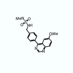 CNS(=O)(=O)NCc1ccc(-c2ncnc3ccc(OC)cc23)cc1